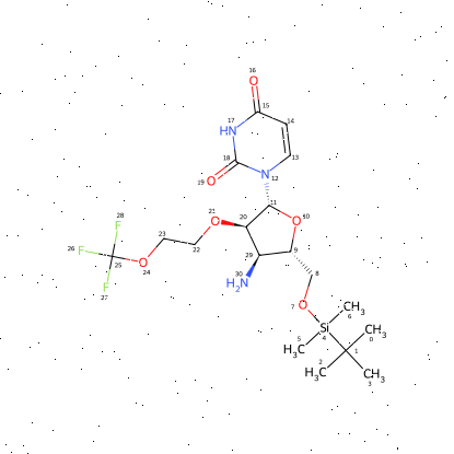 CC(C)(C)[Si](C)(C)OC[C@H]1O[C@@H](n2ccc(=O)[nH]c2=O)[C@H](OCCOC(F)(F)F)[C@@H]1N